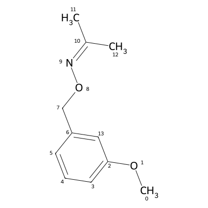 COc1cccc(CON=C(C)C)c1